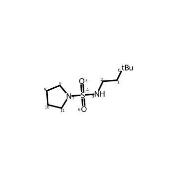 CC(C)(C)CCNS(=O)(=O)N1CCCC1